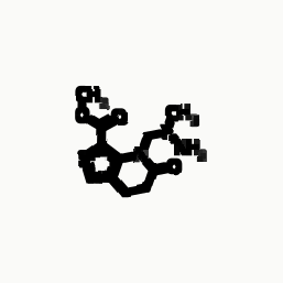 COC(=O)c1scc2c1N(CP(C)N)C(=O)CC2